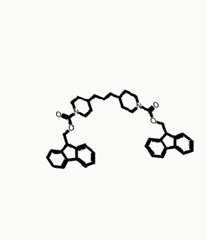 O=C(OCC1C2=CCCC=C2c2ccccc21)N1CCC(CCCC2CCN(C(=O)OCC3c4ccccc4-c4ccccc43)CC2)CC1